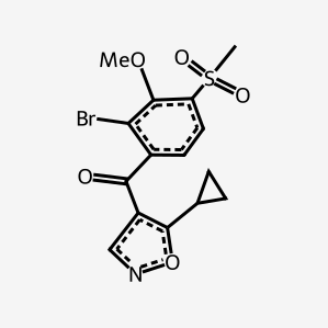 COc1c(S(C)(=O)=O)ccc(C(=O)c2cnoc2C2CC2)c1Br